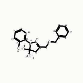 OC1(C(Cl)(Cl)Cl)CC(COCc2ccccc2)=NN1c1ncccc1Cl